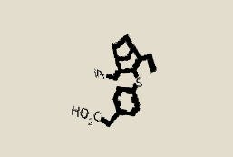 C=CC1=C(Sc2ccc(CC(=O)O)cc2)/C(=C/C(C)C)C2CCC1C2